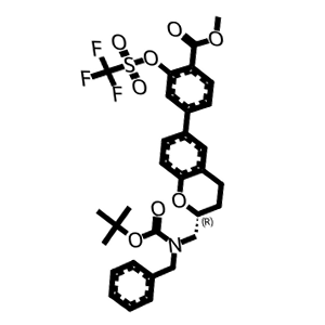 COC(=O)c1ccc(-c2ccc3c(c2)CC[C@H](CN(Cc2ccccc2)C(=O)OC(C)(C)C)O3)cc1OS(=O)(=O)C(F)(F)F